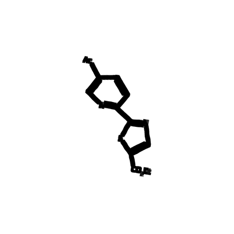 CCOC(=O)c1cnc(-c2ccc(C(C)=O)cn2)s1